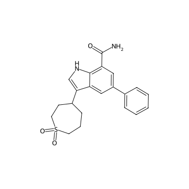 NC(=O)c1cc(-c2ccccc2)cc2c(C3CCCS(=O)(=O)CC3)c[nH]c12